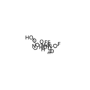 C[C@@H]1COc2c1cc([C@@](O)(CNC(=O)c1cc(COC(C)(C)O)c3ncccc3c1)C(F)(F)F)nc2-c1ccc(F)cc1